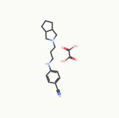 N#Cc1ccc(NCCCN2CC3CCCC3C2)cc1.O=C(O)C(=O)O